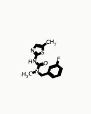 Cc1cnc(NC(=O)N(C)Cc2cccc(F)c2)s1